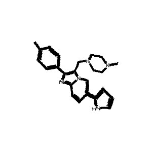 Cc1ccc(-c2nc3ccc(-c4ccc[nH]4)cn3c2CN2CCN(C)CC2)cc1